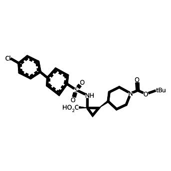 CC(C)(C)OC(=O)N1CCC([C@H]2C[C@@]2(NS(=O)(=O)c2ccc(-c3ccc(Cl)cc3)cc2)C(=O)O)CC1